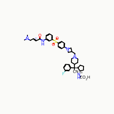 CN(C)C/C=C/C(=O)Nc1cccc(S(=O)(=O)c2ccc(N3CC(CN4CCC(C(C#N)(c5cccc(F)c5)[C@H]5CCC[C@@H]5NC(=O)O)CC4)C3)cc2)c1